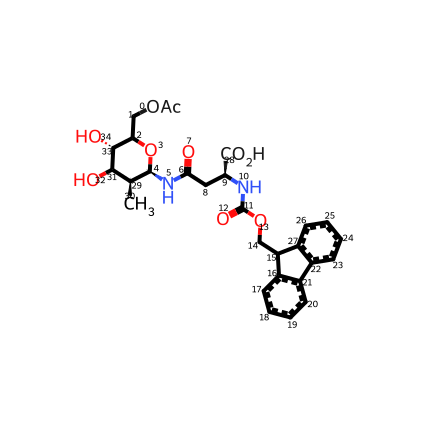 CC(=O)OCC1O[C@@H](NC(=O)C[C@H](NC(=O)OCC2c3ccccc3-c3ccccc32)C(=O)O)[C@@H](C)C(O)[C@@H]1O